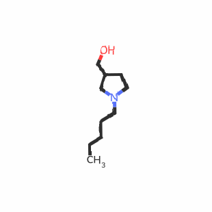 CCCCCN1CCC(CO)C1